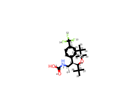 C[C@H](NC(=O)O)[C@@H](c1ccc(C(F)(F)F)cc1)C(O[Si](C)(C)C(C)(C)C)C(C)(C)C